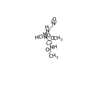 CCCC(=O)Nc1ccc(-c2nnc(NCCCN3CCOCC3)o2)c(OC)c1.Cl